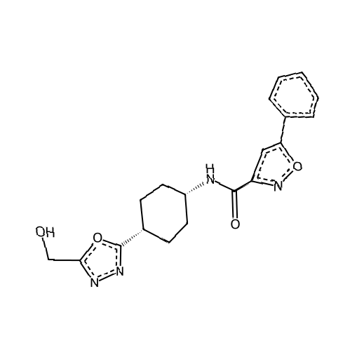 O=C(N[C@H]1CC[C@@H](c2nnc(CO)o2)CC1)c1cc(-c2ccccc2)on1